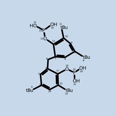 CC(C)(C)c1cc(Cc2cc(C(C)(C)C)cc(C(C)(C)C)c2OP(O)O)c(OP(O)O)c(C(C)(C)C)c1